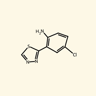 Nc1ccc(Cl)cc1-c1nncs1